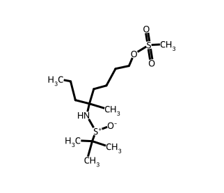 CCCC(C)(CCCCOS(C)(=O)=O)N[S+]([O-])C(C)(C)C